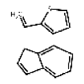 C1=Cc2ccccc2C1.C=Cc1cccs1